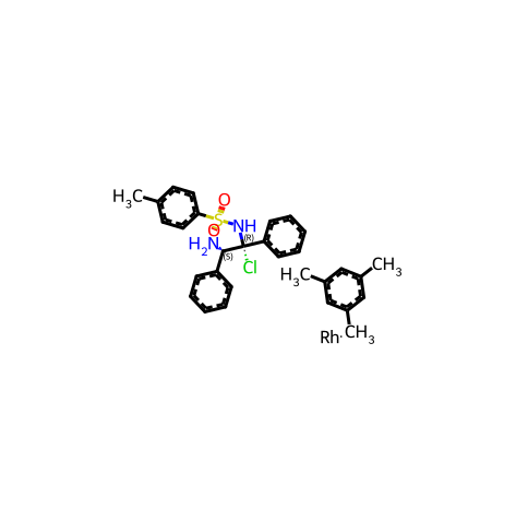 Cc1cc(C)cc(C)c1.Cc1ccc(S(=O)(=O)N[C@@](Cl)(c2ccccc2)[C@@H](N)c2ccccc2)cc1.[Rh]